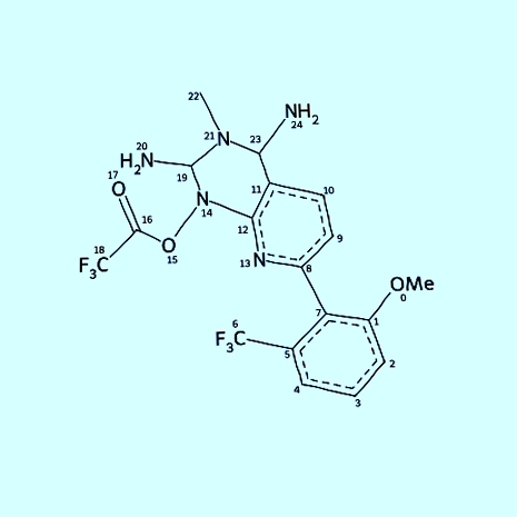 COc1cccc(C(F)(F)F)c1-c1ccc2c(n1)N(OC(=O)C(F)(F)F)C(N)N(C)C2N